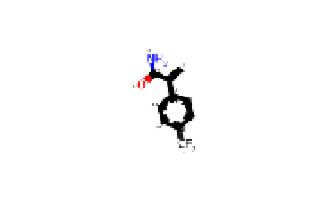 C=C(C(N)=O)c1ccc(C(F)(F)F)cc1